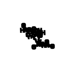 C=C(/C=C/C=C1/N(CCOC)c2ccc(C(=O)NCCOC)cc2C1(C)CCCS(=O)(=O)O)C(C)(CCCS(=O)(=O)O)c1cc(C(=O)NCCOC)ccc1C